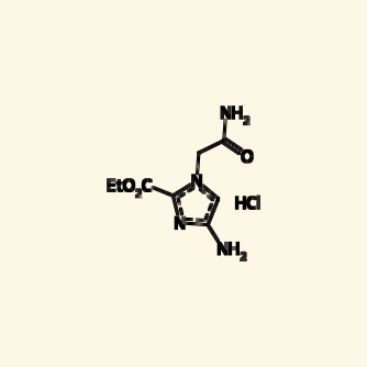 CCOC(=O)c1nc(N)cn1CC(N)=O.Cl